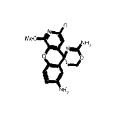 COc1nc(Cl)cc2c1Oc1ccc(N)cc1[C@@]21CCOC(N)=N1